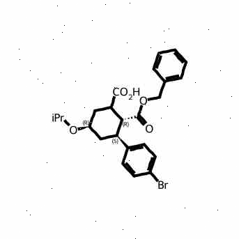 CC(C)O[C@H]1CC(C(=O)O)[C@H](C(=O)OCc2ccccc2)[C@@H](c2ccc(Br)cc2)C1